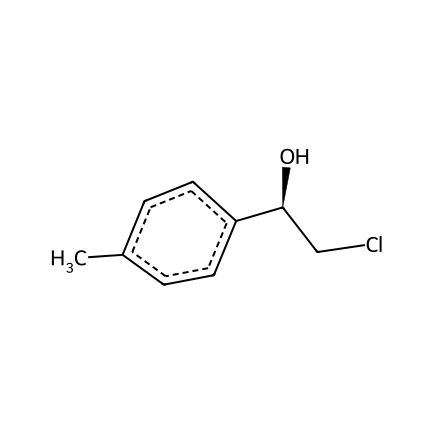 Cc1ccc([C@@H](O)CCl)cc1